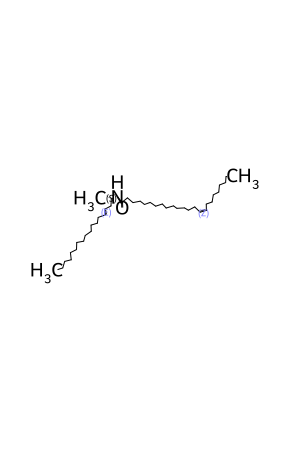 CCCCCCCC/C=C\CCCCCCCCCCCCCC(=O)N[C@@H](CC)C/C=C/CCCCCCCCCCCCC